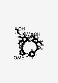 COc1ccc2cc1Oc1ccc(cc1)C[C@H]1c3cc(c(CO)cc3CCN1C)Oc1c(OC)c(OC)c(CNCC(C)O)c3c1[C@H](C2)N(C)CC3